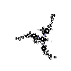 Nc1c(/N=N/c2ccc(S(=O)(=O)CCOSOOO)cc2S(=O)(=O)O)cc(/N=N/c2ccc(S(=O)(=O)CCOSOOO)cc2S(=O)(=O)O)c(N)c1/N=N/c1ccc(S(=O)(=O)CCOS(=O)(=O)O)cc1